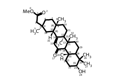 COC(=O)C[C@@]1(C)CC[C@]2(C)CC[C@]3(C)C(=CC(=O)C4[C@@]5(C)CC[C@H](O)C(C)(C)C5CC[C@]43C)[C@@H]2C1